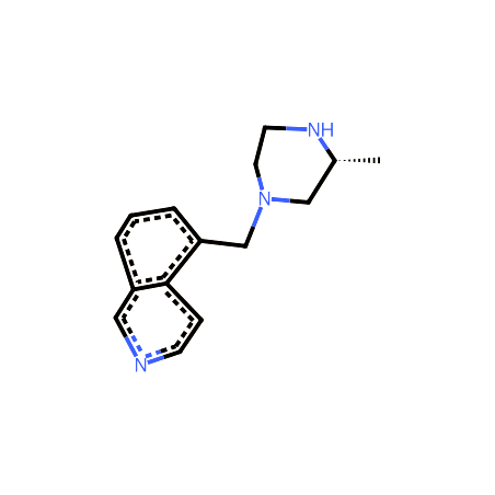 C[C@@H]1CN(Cc2cccc3cnccc23)CCN1